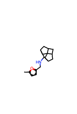 Cc1ccc(CNC2C3CC4CC5CC2CC45C3)o1